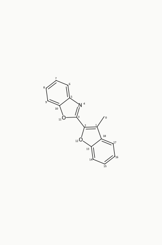 Cc1c(-c2nc3ccccc3o2)oc2ccccc12